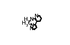 Cn1nccc1-c1cccnc1N